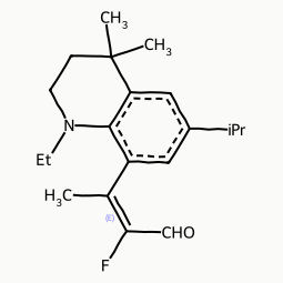 CCN1CCC(C)(C)c2cc(C(C)C)cc(/C(C)=C(/F)C=O)c21